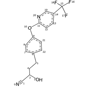 N#CC(O)CCc1ccc(Oc2ccc(C(F)(F)F)cn2)cc1